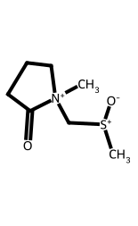 C[S+]([O-])C[N+]1(C)CCCC1=O